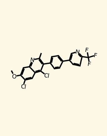 COc1cc2nc(C)c(-c3ccc(-c4ccc(C(F)(F)F)nc4)cc3)c(Cl)c2cc1Cl